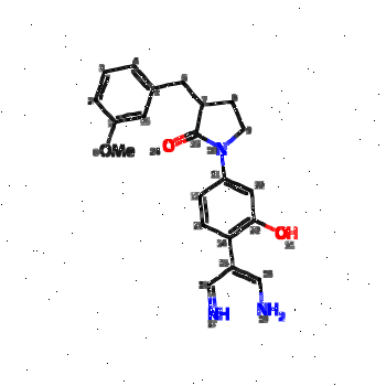 COc1cccc(CC2CCN(c3ccc(/C(C=N)=C/N)c(O)c3)C2=O)c1